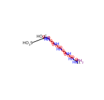 CCN[C@@H](CCCCNC(=O)COCCOCCNC(=O)COCCOCCNC(=O)COCCOCCNC(=O)COCCOCCNC(=O)CC[C@H](NC(=O)CCCCCCCCCCCCCCCS(=O)(=O)O)C(=O)O)C(=O)P